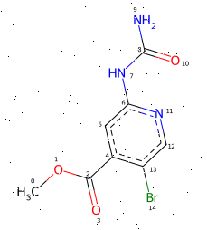 COC(=O)c1cc(NC(N)=O)ncc1Br